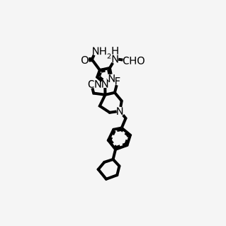 N#CCC1(n2cc(C(N)=O)c(NC=O)n2)CCN(Cc2ccc(C3CCCCC3)cc2)CC1F